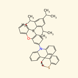 CC(C)c1cc(C(C)C)c(B2c3ccccc3Oc3cc(N4c5ccccc5C5(c6ccccc6Sc6ccccc65)c5ccccc54)ccc32)c(C(C)C)c1